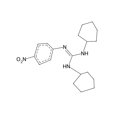 O=[N+]([O-])c1ccc(N=C(NC2CCCCC2)NC2CCCCC2)cc1